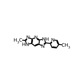 Cc1ccc(-c2nc3cc4[nH]c(C)nc4nc3[nH]2)nc1